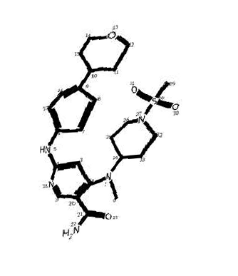 CN(c1cc(Nc2ccc(C3CCOCC3)cc2)ncc1C(N)=O)C1CCN(S(C)(=O)=O)CC1